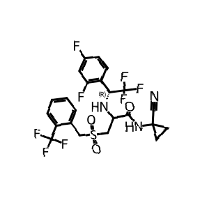 N#CC1(NC(=O)C(CS(=O)(=O)Cc2ccccc2C(F)(F)F)N[C@H](c2ccc(F)cc2F)C(F)(F)F)CC1